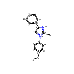 [CH2]Cc1ccc(-n2cc(-c3ccccc3)nc2C)cc1